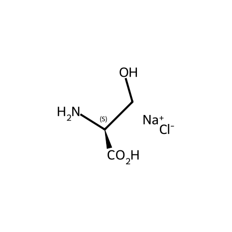 N[C@@H](CO)C(=O)O.[Cl-].[Na+]